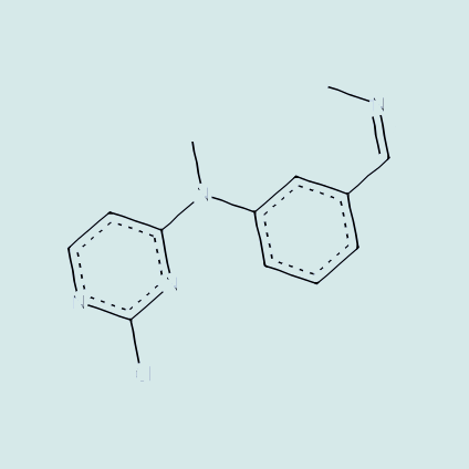 C/N=C\c1cccc(N(C)c2ccnc(Cl)n2)c1